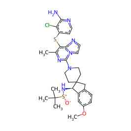 COc1ccc2c(c1)[C@@H](N[S+]([O-])C(C)(C)C)C1(CCN(c3nc(C)c(Sc4ccnc(N)c4Cl)c4nccn34)CC1)C2